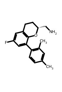 Cc1ccc(-c2cc(F)cc3c2O[C@@H](CN)CC3)c(C)c1